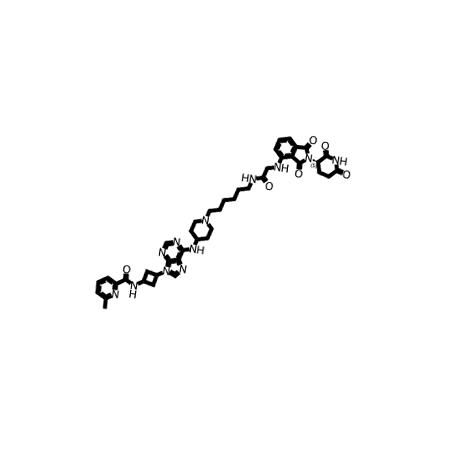 Cc1cccc(C(=O)NC2CC(n3cnc4c(NC5CCN(CCCCCCNC(=O)CNc6cccc7c6C(=O)N([C@H]6CCC(=O)NC6=O)C7=O)CC5)ncnc43)C2)n1